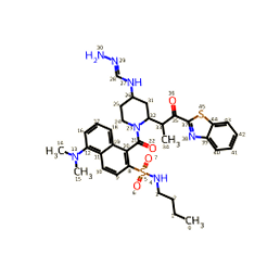 CCCCNS(=O)(=O)c1ccc2c(N(C)C)cccc2c1C(=O)N1CCC(NC=NN)CC1C(C)C(=O)c1nc2ccccc2s1